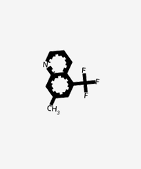 Cc1cc(C(F)(F)F)c2cccnc2c1